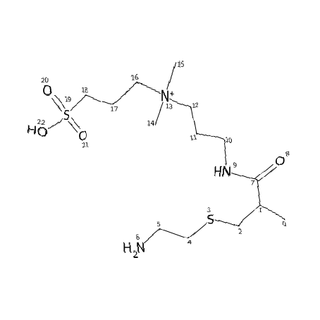 CC(CSCCN)C(=O)NCCC[N+](C)(C)CCCS(=O)(=O)O